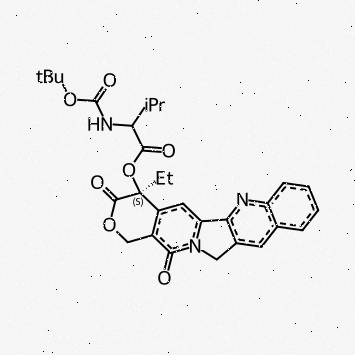 CC[C@@]1(OC(=O)C(NC(=O)OC(C)(C)C)C(C)C)C(=O)OCc2c1cc1n(c2=O)Cc2cc3ccccc3nc2-1